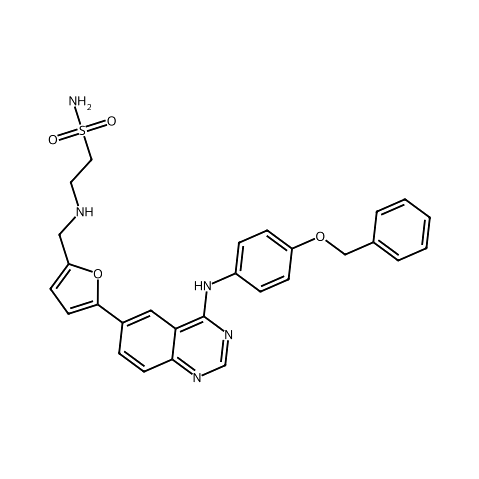 NS(=O)(=O)CCNCc1ccc(-c2ccc3ncnc(Nc4ccc(OCc5ccccc5)cc4)c3c2)o1